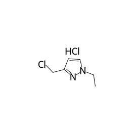 CCn1ccc(CCl)n1.Cl